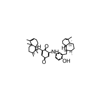 CC1=CCC[C@H]2[C@](C)(CC3=CC(=O)C=C(Nc4ccc(O)c(C[C@]5(C)[C@@H](C)CC[C@]6(C)C(C)=CCC[C@@H]56)c4)C3=O)[C@@H](C)CC[C@]12C